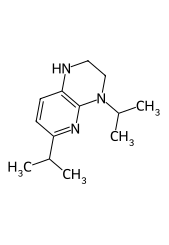 CC(C)c1ccc2c(n1)N(C(C)C)CCN2